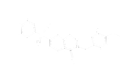 COc1ccc(Cn2ncc3cc(S(=N)(=O)c4ccccc4)ccc3c2=O)cn1